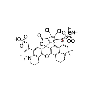 CNC(=O)CSc1c(Cl)c(Cl)c2c(c1Cl)C1(OC2=O)c2cc3c4c(c2Oc2c1cc1c5c2CCCN5C(C)(C)C=C1CS(=O)(=O)O)CCCN4C(C)(C)C=C3CS(=O)(=O)O